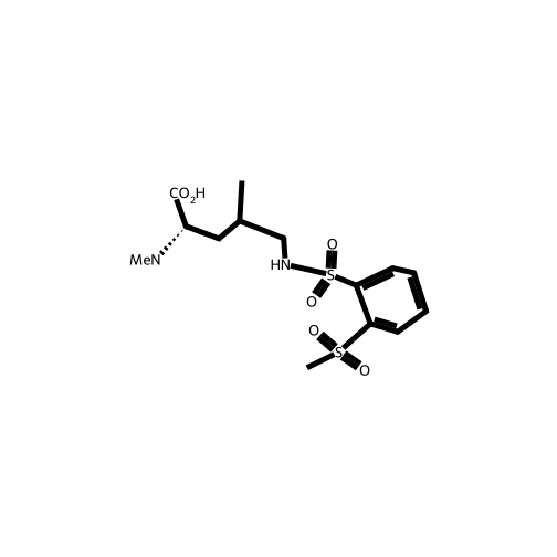 CN[C@@H](CC(C)CNS(=O)(=O)c1ccccc1S(C)(=O)=O)C(=O)O